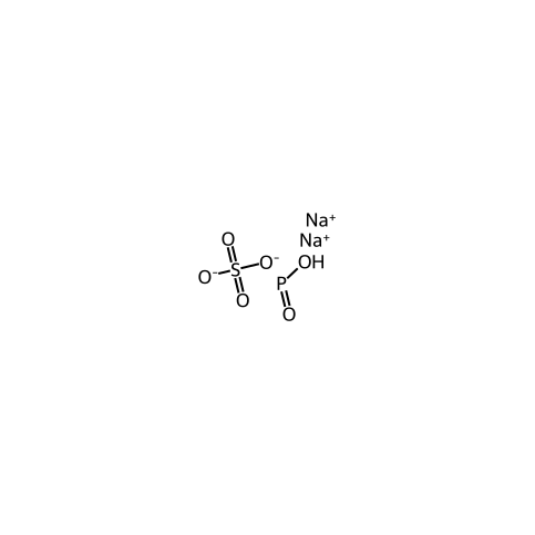 O=PO.O=S(=O)([O-])[O-].[Na+].[Na+]